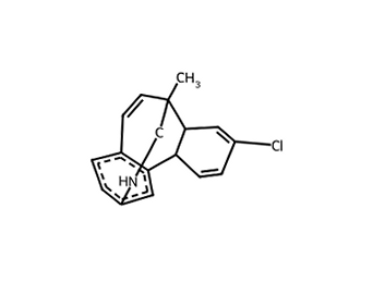 CC12C=Cc3ccc(cc3C3C=CC(Cl)=CC31)NC2